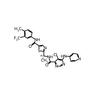 Cc1ccc(NC(=O)c2cnc([C@@H](C)NC(=O)c3ncnc(Nc4ccncc4)c3Cl)s2)cc1C(F)(F)F